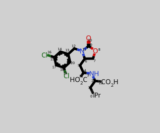 CC(C)CC(NC(CC1COC(=O)N1Cc1cc(Cl)cc(Cl)c1)C(=O)O)C(=O)O